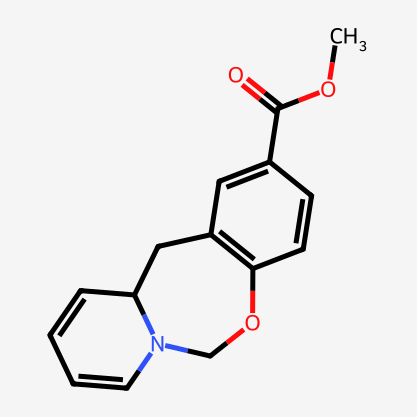 COC(=O)c1ccc2c(c1)CC1C=CC=CN1CO2